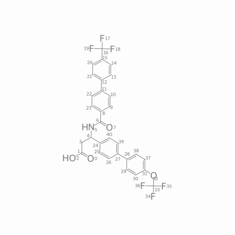 O=C(O)CC(NC(=O)c1ccc(-c2ccc(C(F)(F)F)cc2)cc1)c1ccc(-c2ccc(OC(F)(F)F)cc2)cc1